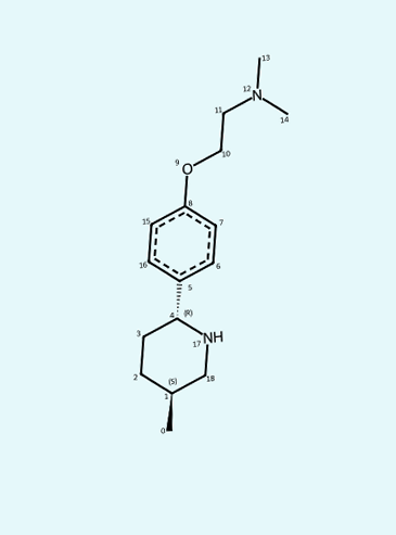 C[C@H]1CC[C@H](c2ccc(OCCN(C)C)cc2)NC1